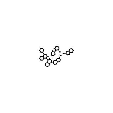 c1ccc(-c2cc3c(c4ccccc24)c2c4ccccc4ccc2n3-c2ccc3c(c2)oc2cccc(-c4nc(-c5ccc6ccccc6c5)nc(-c5ccc6ccccc6c5)n4)c23)cc1